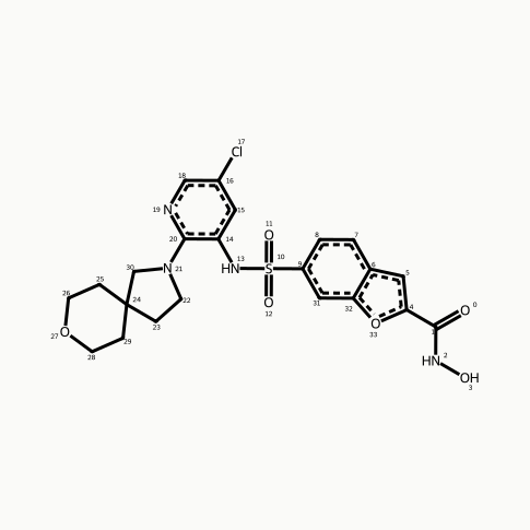 O=C(NO)c1cc2ccc(S(=O)(=O)Nc3cc(Cl)cnc3N3CCC4(CCOCC4)C3)cc2o1